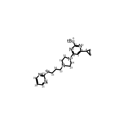 CC(C)(C)c1nc(C2CC2)cc(N2CCN(CCCSc3ncccn3)CC2)n1